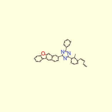 C=C/C=C\c1cccc(-c2nc(-c3ccccc3)nc(-c3ccc4cc5c(cc4c3)oc3ccccc35)n2)c1C